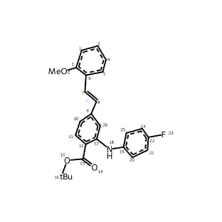 COc1ccccc1/C=C/c1ccc(C(=O)OC(C)(C)C)c(Nc2ccc(F)cc2)c1